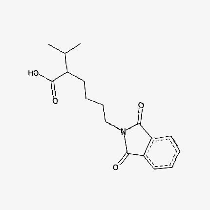 CC(C)C(CCCCN1C(=O)c2ccccc2C1=O)C(=O)O